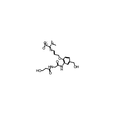 CN(C)/C(=N\C=C\COc1ccc(CO)cc1NC(=O)CNC(=O)CCO)[N+](=O)[O-]